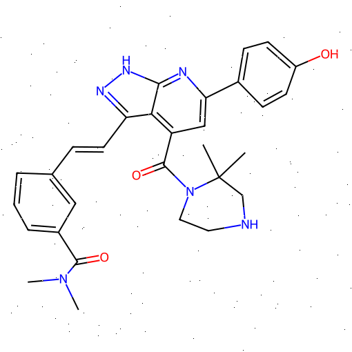 CN(C)C(=O)c1cccc(C=Cc2n[nH]c3nc(-c4ccc(O)cc4)cc(C(=O)N4CCNCC4(C)C)c23)c1